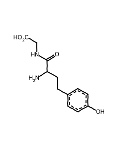 NC(CCc1ccc(O)cc1)C(=O)NCC(=O)O